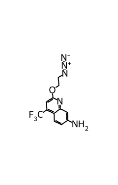 [N-]=[N+]=NCCOc1cc(C(F)(F)F)c2ccc(N)cc2n1